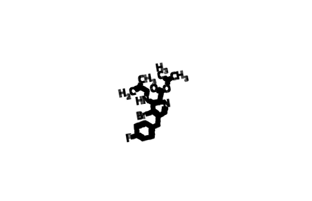 C=C(C)CNc1c(C(=O)OC(C)C)ncc(Cc2ccc(F)cc2)c1Br